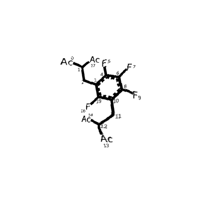 CC(=O)C(Cc1c(F)c(F)c(F)c(CC(C(C)=O)C(C)=O)c1F)C(C)=O